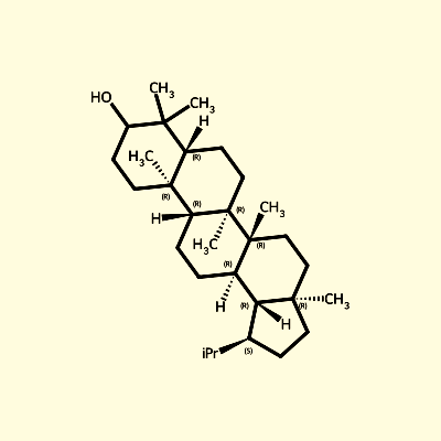 CC(C)[C@@H]1CC[C@]2(C)CC[C@]3(C)[C@H](CC[C@@H]4[C@@]5(C)CCC(O)C(C)(C)[C@@H]5CC[C@]43C)[C@@H]12